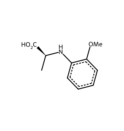 COc1ccccc1N[C@@H](C)C(=O)O